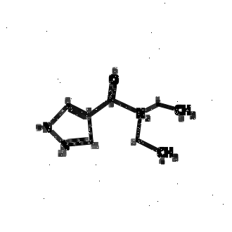 CCN(CC)C(=O)C1=C[N]N=C1